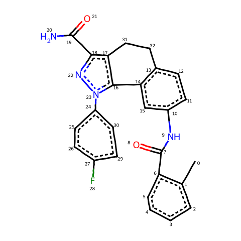 Cc1ccccc1C(=O)Nc1ccc2c(c1)-c1c(c(C(N)=O)nn1-c1ccc(F)cc1)CC2